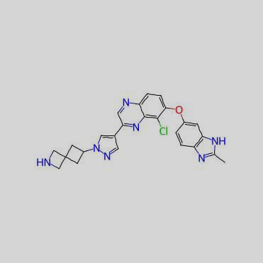 Cc1nc2ccc(Oc3ccc4ncc(-c5cnn(C6CC7(CNC7)C6)c5)nc4c3Cl)cc2[nH]1